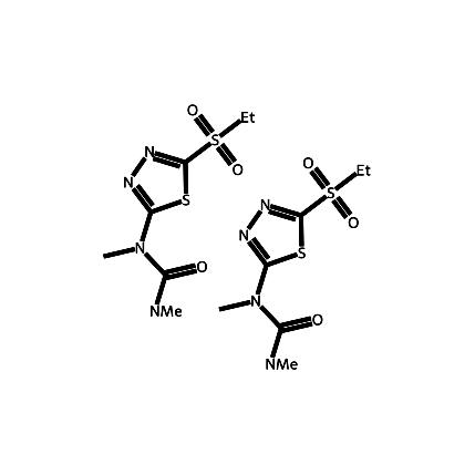 CCS(=O)(=O)c1nnc(N(C)C(=O)NC)s1.CCS(=O)(=O)c1nnc(N(C)C(=O)NC)s1